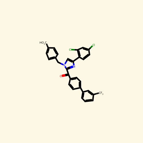 O=C(O)c1ccc(Cn2cc(-c3ccc(Cl)cc3Cl)nc2C(=O)c2ccc(-c3cccc(C(F)(F)F)c3)cc2)cc1